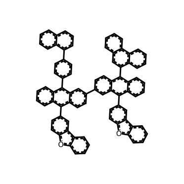 c1ccc2c(-c3ccc(-c4c5ccccc5c(-c5ccc6oc7ccccc7c6c5)c5ccc(-c6ccc7c(-c8cc9ccccc9c9ccccc89)c8ccccc8c(-c8ccc9oc%10ccccc%10c9c8)c7c6)cc45)cc3)cccc2c1